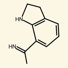 CC(=N)c1cccc2c1NCC2